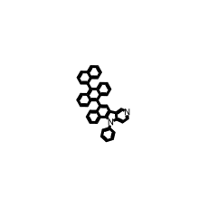 c1ccc(-n2c3ccncc3c3cc(-c4c5ccccc5c(-c5cccc6ccccc56)c5ccccc45)c4ccccc4c32)cc1